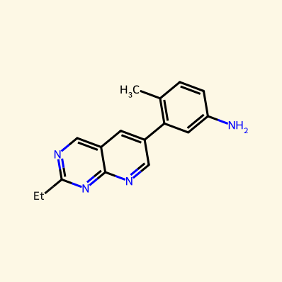 CCc1ncc2cc(-c3cc(N)ccc3C)cnc2n1